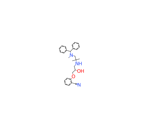 CN(CC(C)(C)NCC(O)COc1ccccc1C#N)C(c1ccccc1)c1ccccc1